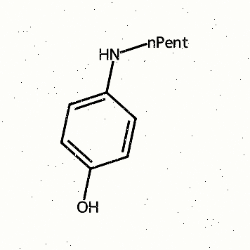 [CH2]CCCCNc1ccc(O)cc1